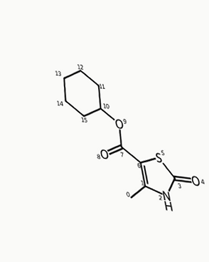 Cc1[nH]c(=O)sc1C(=O)OC1CCCCC1